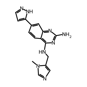 Cn1cncc1CNc1nc(N)nc2cc(-c3ccn[nH]3)ccc12